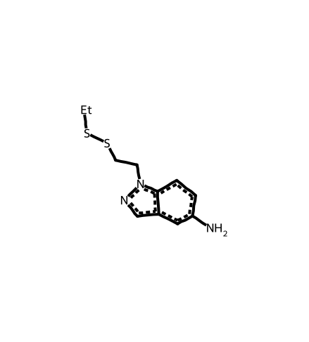 CCSSCCn1ncc2cc(N)ccc21